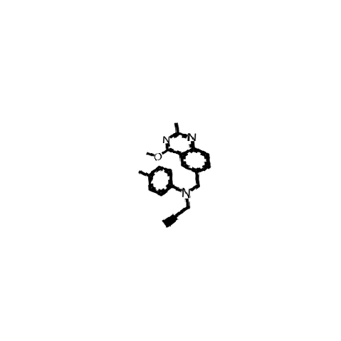 C#CCN(Cc1ccc2nc(C)nc(OC)c2c1)c1ccc(C)cc1